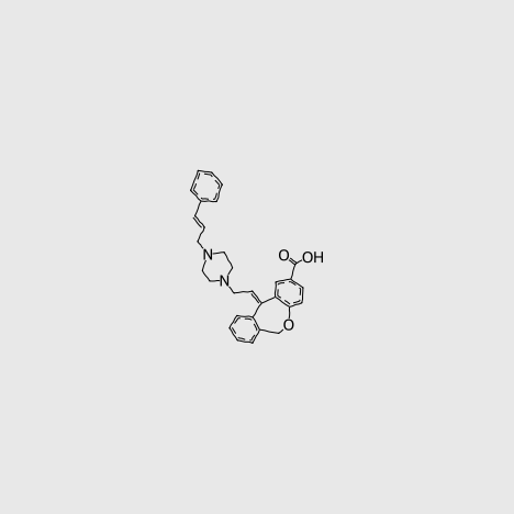 O=C(O)c1ccc2c(c1)/C(=C/CN1CCN(CC=Cc3ccccc3)CC1)c1ccccc1CO2